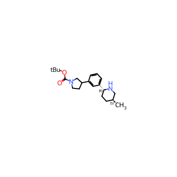 C[C@H]1CC[C@H](c2cccc(C3CCN(C(=O)OC(C)(C)C)C3)c2)NC1